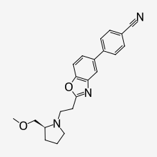 COC[C@@H]1CCCN1CCc1nc2cc(-c3ccc(C#N)cc3)ccc2o1